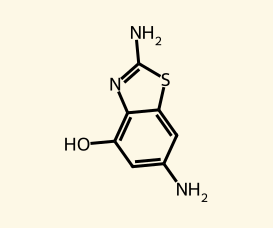 Nc1cc(O)c2nc(N)sc2c1